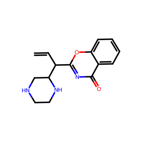 C=CC(c1nc(=O)c2ccccc2o1)C1CNCCN1